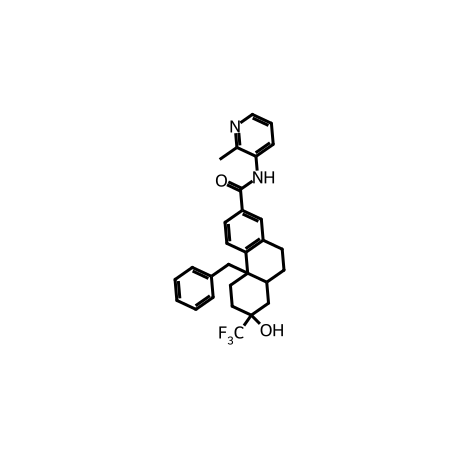 Cc1ncccc1NC(=O)c1ccc2c(c1)CCC1CC(O)(C(F)(F)F)CCC21Cc1ccccc1